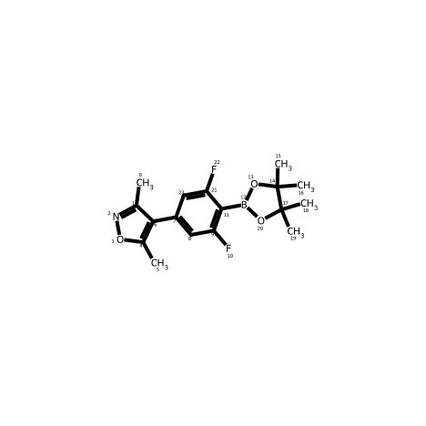 Cc1noc(C)c1-c1cc(F)c(B2OC(C)(C)C(C)(C)O2)c(F)c1